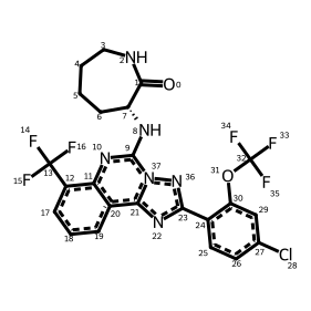 O=C1NCCCC[C@H]1Nc1nc2c(C(F)(F)F)cccc2c2nc(-c3ccc(Cl)cc3OC(F)(F)F)nn12